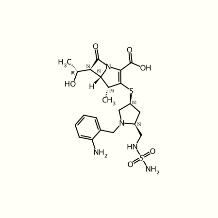 C[C@@H](O)[C@H]1C(=O)N2C(C(=O)O)=C(S[C@H]3C[C@@H](CNS(N)(=O)=O)N(Cc4ccccc4N)C3)[C@H](C)[C@H]12